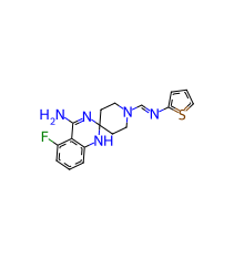 NC1=NC2(CCN(C=Nc3cccs3)CC2)Nc2cccc(F)c21